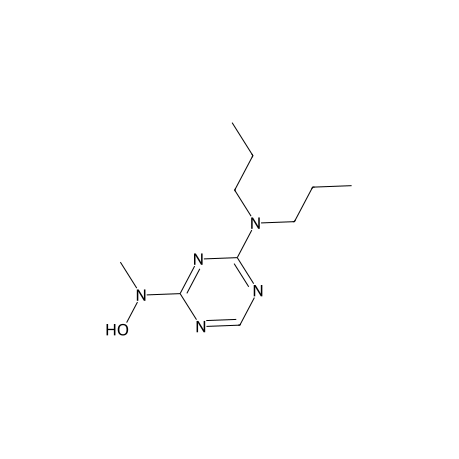 CCCN(CCC)c1ncnc(N(C)O)n1